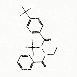 CCN(C(=O)c1ccccc1)N(C(=O)c1ccc(C(F)(F)F)cc1)C(C)(C)C